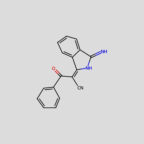 N#CC(C(=O)c1ccccc1)=C1NC(=N)c2ccccc21